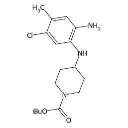 Cc1cc(N)c(NC2CCN(C(=O)OCC(C)C)CC2)cc1Cl